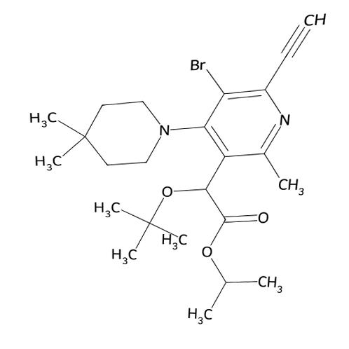 C#Cc1nc(C)c(C(OC(C)(C)C)C(=O)OC(C)C)c(N2CCC(C)(C)CC2)c1Br